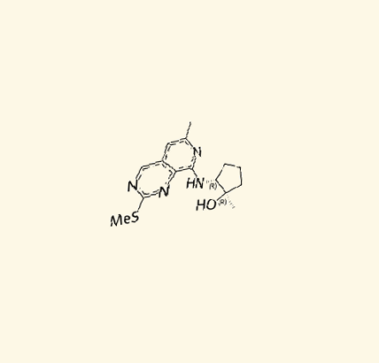 CSc1ncc2cc(C)nc(N[C@@H]3CCC[C@@]3(C)O)c2n1